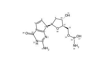 Nc1nc2c(ccn2[C@H]2C[C@H](O)[C@@H](COP(N)O)O2)c(=O)[nH]1